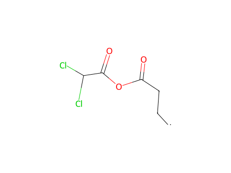 [CH2]CCC(=O)OC(=O)C(Cl)Cl